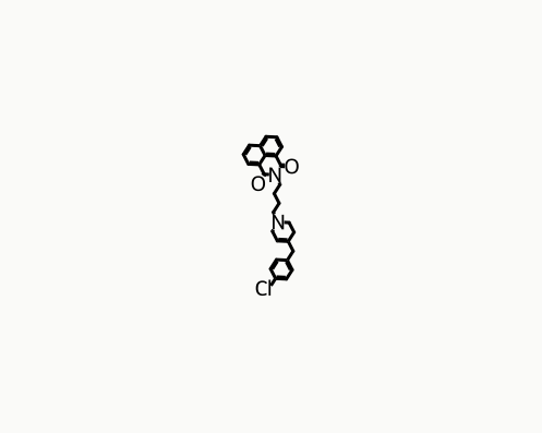 O=C1c2cccc3cccc(c23)C(=O)N1CCCCN1CC=C(Cc2ccc(Cl)cc2)CC1